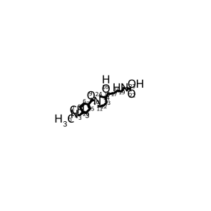 CN(C)Cc1ccc(C(=O)N2CCCC(C(O)CCCNC(=O)O)C2)cc1